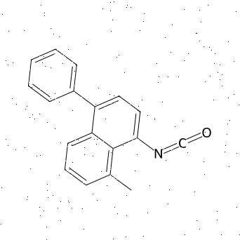 Cc1cccc2c(-c3ccccc3)ccc(N=C=O)c12